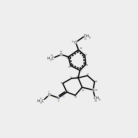 CO/N=C1\CCC2(c3ccc(OC)c(OC)c3)CCN(C)C2C1